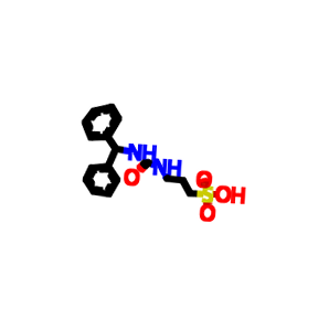 O=C(NCCCS(=O)(=O)O)NC(c1ccccc1)c1ccccc1